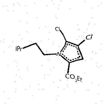 CCOC(=O)c1cc(Cl)c(Cl)n1CCC(C)C